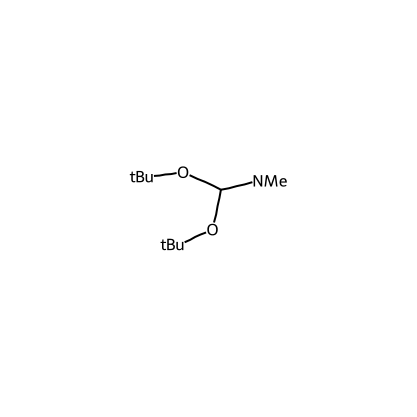 CNC(OC(C)(C)C)OC(C)(C)C